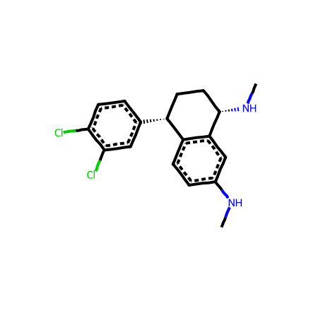 CNc1ccc2c(c1)[C@@H](NC)CC[C@H]2c1ccc(Cl)c(Cl)c1